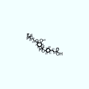 COc1cc(C(F)(F)Oc2ccc(C=CC(=O)O)cc2)ccc1OCCCC(F)(F)F